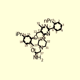 CCCc1ccccc1-c1nc(C)c(COc2cc(C(C)C)ccc2C)c(N2CCN(CC(N)=O)CC2)n1